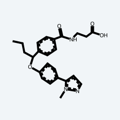 CCCC(Oc1ccc(-c2ccnn2C)cc1)c1ccc(C(=O)NCCC(=O)O)cc1